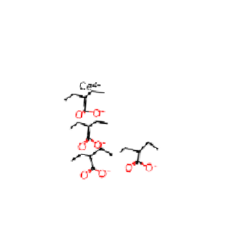 CCC(CC)C(=O)[O-].CCC(CC)C(=O)[O-].CCC(CC)C(=O)[O-].CCC(CC)C(=O)[O-].[Ce+4]